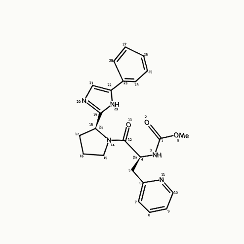 COC(=O)N[C@@H](Cc1ccccn1)C(=O)N1CCC[C@H]1c1ncc(-c2ccccc2)[nH]1